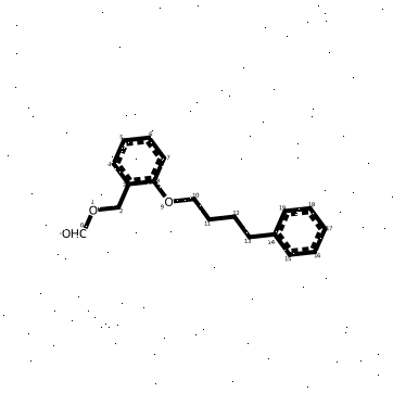 O=[C]OCc1ccccc1OCCCCc1ccccc1